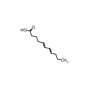 CCCC=CC=CCCCC(=O)O